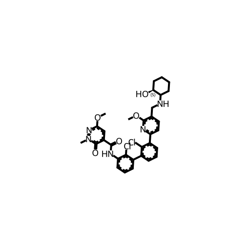 COc1cc(C(=O)Nc2cccc(-c3cccc(-c4ccc(CNC5CCCC[C@@H]5O)c(OC)n4)c3Cl)c2Cl)c(=O)n(C)n1